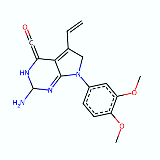 C=CC1=C2C(=C=O)NC(N)N=C2N(c2ccc(OC)c(OC)c2)C1